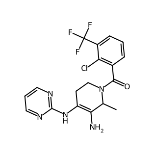 CC1C(N)=C(Nc2ncccn2)CCN1C(=O)c1cccc(C(F)(F)F)c1Cl